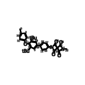 Cc1ccc(Oc2c(C(C)(C)C)cc(-c3ccc(N4C(=O)C5(C(=O)N(C)C5=O)C4=O)cc3)cc2C(C)(C)C)cc1